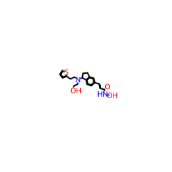 O=C(C=Cc1ccc2c(c1)CCC2N(CCO)CCc1cccs1)NO